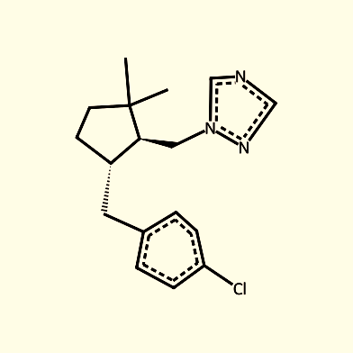 CC1(C)CC[C@@H](Cc2ccc(Cl)cc2)[C@@H]1Cn1cncn1